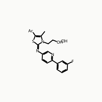 CC(=O)c1sc(=Nc2ccc(-c3cccc(F)c3)nc2)n(CCO)c1C.Cl